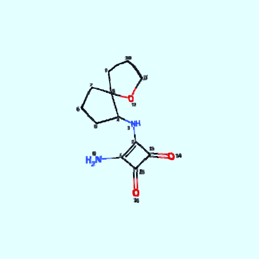 Nc1c(NC2CCCC23CCCO3)c(=O)c1=O